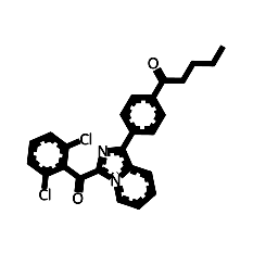 CCCCC(=O)c1ccc(-c2nc(C(=O)c3c(Cl)cccc3Cl)n3ccccc23)cc1